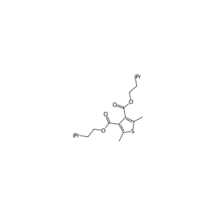 Cc1sc(C)c(C(=O)OCCC(C)C)c1C(=O)OCCC(C)C